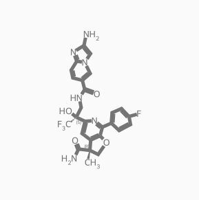 C[C@]1(C(N)=O)COc2c1cc([C@@](O)(CNC(=O)c1ccc3nc(N)cn3c1)C(F)(F)F)nc2-c1ccc(F)cc1